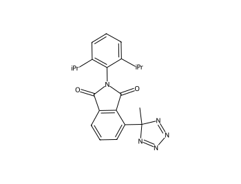 CC(C)c1cccc(C(C)C)c1N1C(=O)c2cccc(C3(C)N=NN=N3)c2C1=O